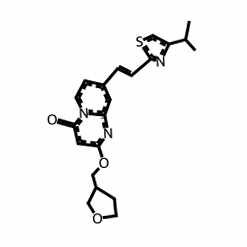 CC(C)c1csc(C=Cc2ccn3c(=O)cc(OCC4CCOC4)nc3c2)n1